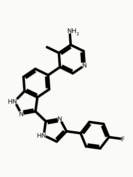 Cc1c(N)cncc1-c1ccc2[nH]nc(-c3nc(-c4ccc(F)cc4)c[nH]3)c2c1